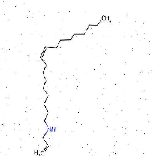 C=CCNCCCCCCCC/C=C\CCCCCCCC